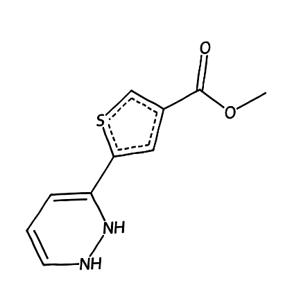 COC(=O)c1csc(C2=CC=CNN2)c1